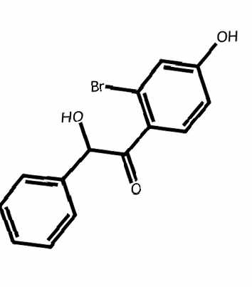 O=C(c1ccc(O)cc1Br)C(O)c1ccccc1